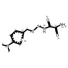 CN(C)c1ccc(CSSNC(=O)C(N)=O)cc1